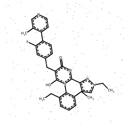 CCc1cccc(CC)c1-n1c(-c2ccn(CC)n2)nc(=O)c(Cc2ccc(-c3ccncc3C)c(F)c2)c1O